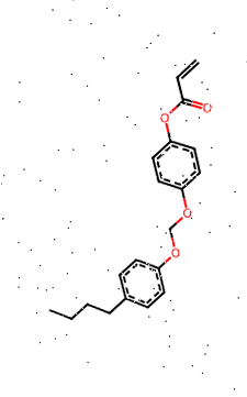 C=CC(=O)Oc1ccc(OCOc2ccc(CCCC)cc2)cc1